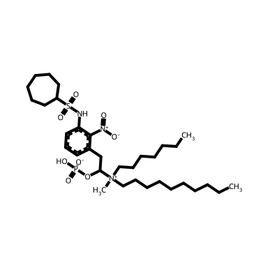 CCCCCCCCCC[N+](C)(CCCCCCC)C(Cc1cccc(NS(=O)(=O)C2CCCCCC2)c1[N+](=O)[O-])OP(=O)([O-])O